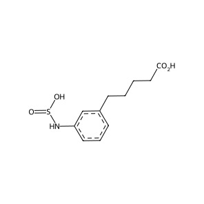 O=C(O)CCCCc1cccc(NS(=O)O)c1